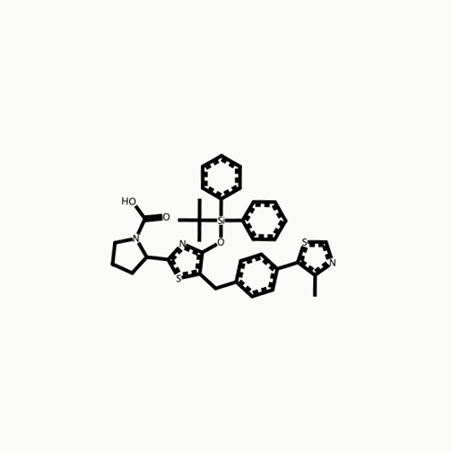 Cc1ncsc1-c1ccc(Cc2sc(C3CCCN3C(=O)O)nc2O[Si](c2ccccc2)(c2ccccc2)C(C)(C)C)cc1